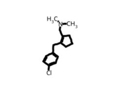 CN(C)CC1=C(Cc2ccc(Cl)cc2)CCC1